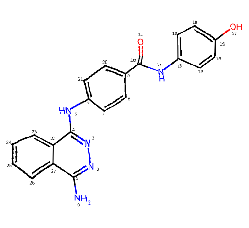 Nc1nnc(Nc2ccc(C(=O)Nc3ccc(O)cc3)cc2)c2ccccc12